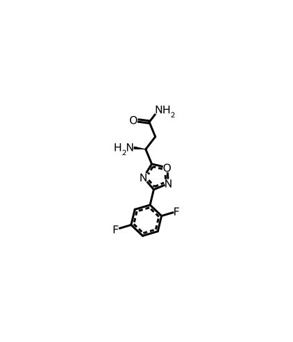 NC(=O)C[C@H](N)c1nc(-c2cc(F)ccc2F)no1